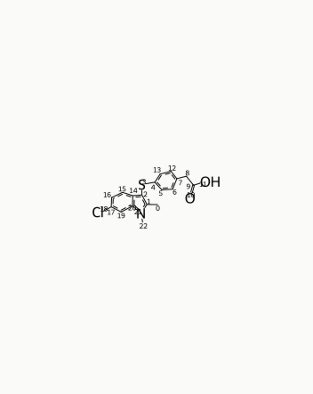 Cc1c(Sc2ccc(CC(=O)O)cc2)c2ccc(Cl)cc2n1C